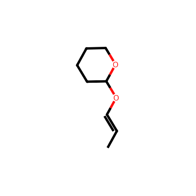 C/C=C/OC1CCCCO1